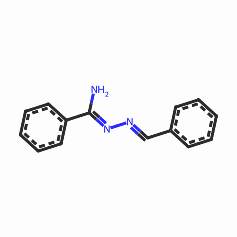 N/C(=N\N=C\c1ccccc1)c1ccccc1